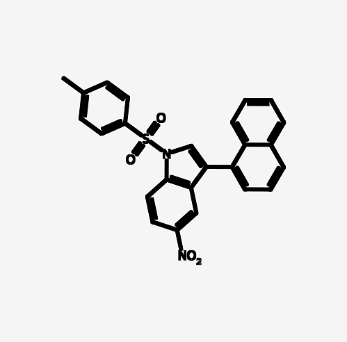 Cc1ccc(S(=O)(=O)n2cc(-c3cccc4ccccc34)c3cc([N+](=O)[O-])ccc32)cc1